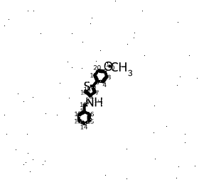 COc1ccc(-c2cc(NCc3ccccc3)cs2)cc1